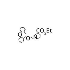 CCOC(=O)C1CCCN(CCO[C@@H]2Cc3ccccc3Oc3ccccc32)C1